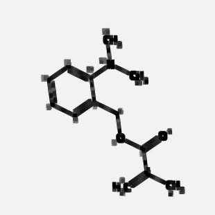 C=C(C)C(=O)OCc1ccccc1N(C)C